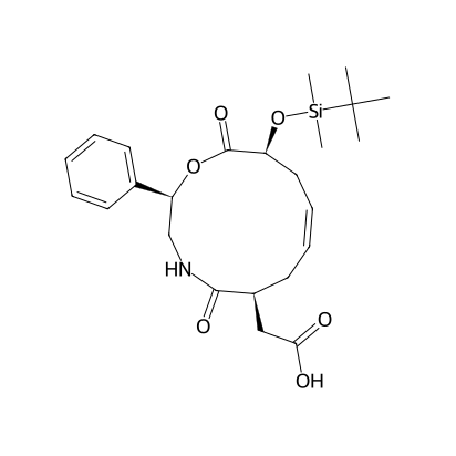 CC(C)(C)[Si](C)(C)O[C@H]1CC=CC[C@@H](CC(=O)O)C(=O)NC[C@@H](c2ccccc2)OC1=O